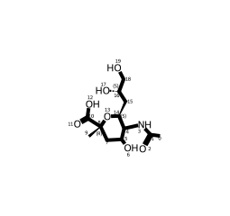 CC(=O)NC1C(O)C[C@](C)(C(=O)O)O[C@H]1C[C@H](O)CO